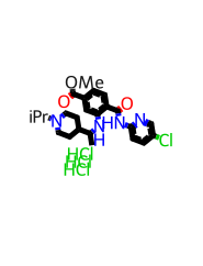 COC(=O)c1ccc(C(=O)Nc2ccc(Cl)cn2)c(NC(C)C2CCN(C(C)C)CC2)c1.Cl.Cl.Cl